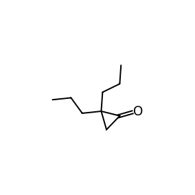 CCCC1(CCC)CC1=O